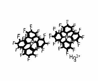 Fc1c(F)c(F)c([B-](c2c(F)c(F)c(F)c(F)c2F)(c2c(F)c(F)c(F)c(F)c2F)c2c(F)c(F)c(F)c(F)c2F)c(F)c1F.Fc1c(F)c(F)c([B-](c2c(F)c(F)c(F)c(F)c2F)(c2c(F)c(F)c(F)c(F)c2F)c2c(F)c(F)c(F)c(F)c2F)c(F)c1F.[Hg+2]